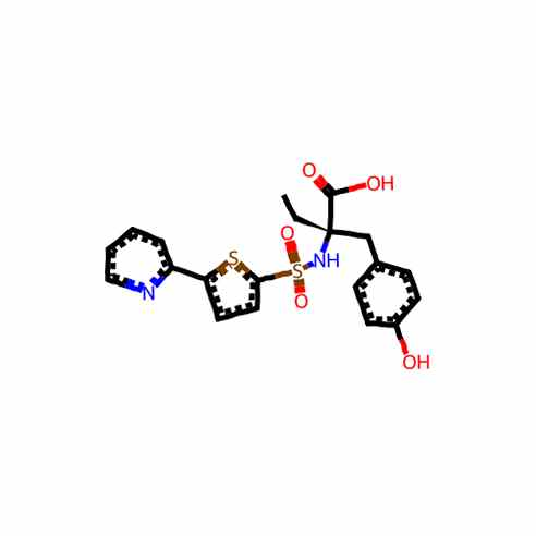 CC[C@@](Cc1ccc(O)cc1)(NS(=O)(=O)c1ccc(-c2ccccn2)s1)C(=O)O